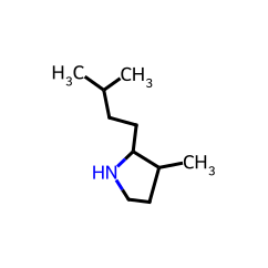 CC(C)CCC1NCCC1C